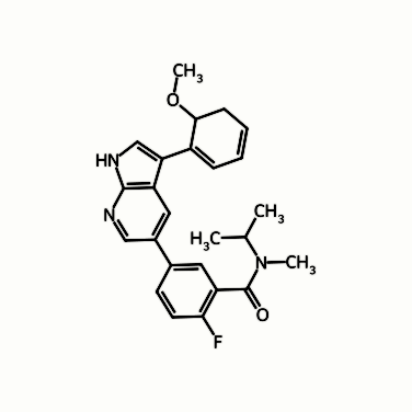 COC1CC=CC=C1c1c[nH]c2ncc(-c3ccc(F)c(C(=O)N(C)C(C)C)c3)cc12